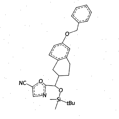 CC(C)(C)[Si](C)(C)OC(c1ncc(C#N)o1)C1CCc2cc(OCc3ccccc3)ccc2C1